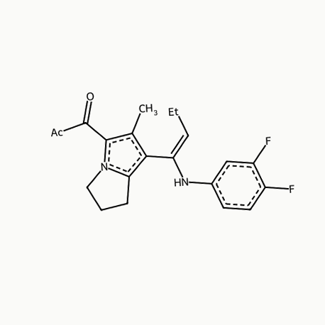 CC/C=C(/Nc1ccc(F)c(F)c1)c1c(C)c(C(=O)C(C)=O)n2c1CCC2